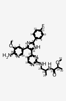 COc1cc(-c2nc(-c3ccc(F)cc3)[nH]c2-c2ccnc(NCC(C)NC(=O)C(C)OC)n2)cnc1N